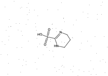 O=S(=O)(O)C1=NCCCN1